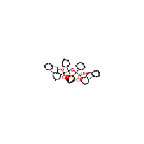 OC(O)(c1cccc2c1Cc1ccccc1-2)C(OC(c1ccccc1)(c1ccccc1)C(O)(O)c1cccc2c1Cc1ccccc1-2)(c1ccccc1)c1ccccc1